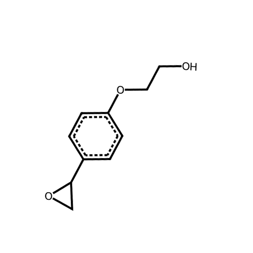 OCCOc1ccc(C2CO2)cc1